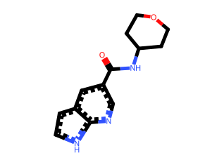 O=C(NC1CCOCC1)c1cnc2[nH]ccc2c1